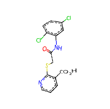 O=C(CSc1ncccc1C(=O)O)Nc1cc(Cl)ccc1Cl